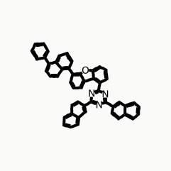 c1ccc(-c2cccc3c(-c4cccc5c4oc4cccc(-c6nc(-c7ccc8ccccc8c7)nc(-c7ccc8ccccc8c7)n6)c45)cccc23)cc1